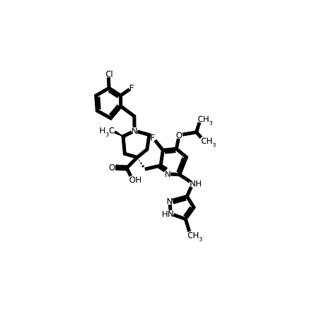 Cc1cc(Nc2cc(OC(C)C)c(F)c(C[C@@]3(C(=O)O)CCN(Cc4cccc(Cl)c4F)[C@H](C)C3)n2)n[nH]1